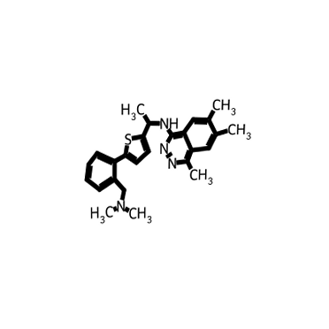 Cc1cc2c(C)nnc(NC(C)c3ccc(-c4ccccc4CN(C)C)s3)c2cc1C